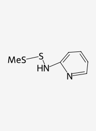 CSSNc1ccccn1